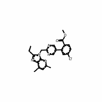 CCc1nc2c(C)cc(C)nc2n1Cc1ncc(-c2cc(Cl)ccc2C(=O)OC)cn1